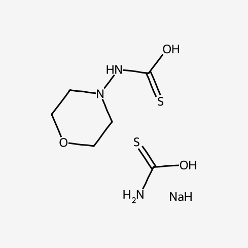 NC(O)=S.OC(=S)NN1CCOCC1.[NaH]